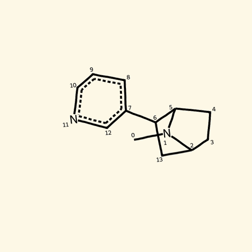 CN1C2CCC1C(c1cccnc1)C2